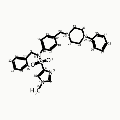 Cn1cnc(S(=O)(=O)N(Cc2ccccc2)c2ccc(CN3CCN(c4ccccc4)CC3)cc2)c1